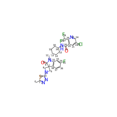 Cc1nnc(N2CC3(C2)C(=O)N(C[C@H]2CC[C@H](NC(=O)c4cc(Cl)cnc4C(F)F)CC2)c2cc(F)ccc23)s1